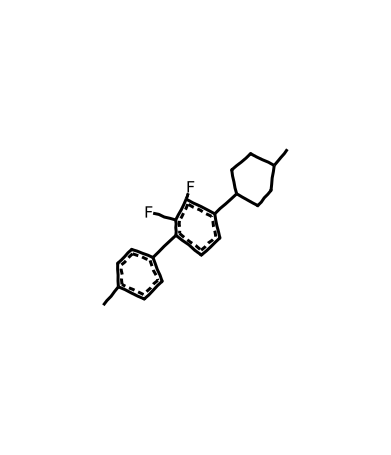 Cc1ccc(-c2ccc(C3CCC(C)CC3)c(F)c2F)cc1